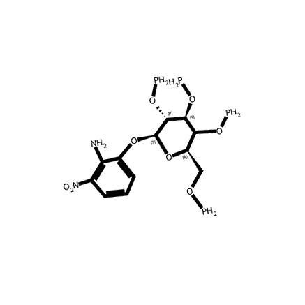 Nc1c(O[C@@H]2O[C@H](COP)C(OP)[C@H](OP)[C@H]2OP)cccc1[N+](=O)[O-]